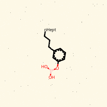 CCCCCCCCCCc1cccc(OB(O)O)c1